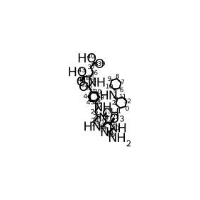 C1CCC(NC2CCCCC2)CC1.CN1c2c(nc(N)[nH]c2=O)NCC1CNc1ccc(C(=O)NC(CCC(=O)O)C(=O)O)cc1